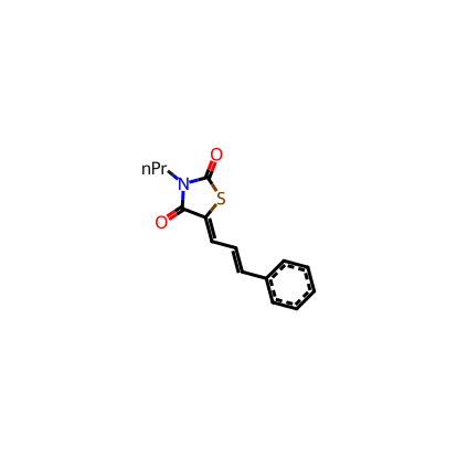 CCCN1C(=O)S/C(=C\C=C\c2ccccc2)C1=O